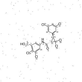 O=C(O)c1cc(NC(=O)[C@@H]2[C@@H](c3cc(Cl)cc(Cl)c3)C2(Cl)Cl)cc(Cl)c1Cl